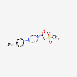 CC(C)c1ccc(N2CCN(C(=O)CS(C)(=O)=O)CC2)cc1